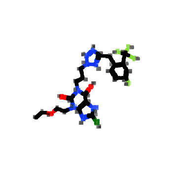 CCOCCn1c(=O)n(CCCn2nnc(Cc3ccc(F)cc3C(F)(F)F)n2)c(=O)c2[nH]c(Cl)nc21